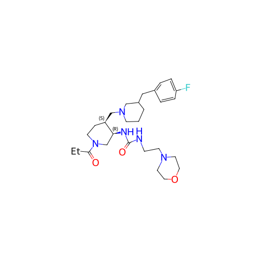 CCC(=O)N1CC[C@@H](CN2CCCC(Cc3ccc(F)cc3)C2)[C@@H](NC(=O)NCCN2CCOCC2)C1